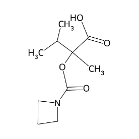 CC(C)C(C)(OC(=O)N1CCC1)C(=O)O